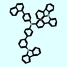 c1cc(-c2ccc(N(c3ccc(-c4ccccc4-n4c5ccccc5c5ccccc54)cc3)c3ccc(-c4cccc5ccccc45)cc3)cc2)cc(-n2c3ccccc3c3ccccc32)c1